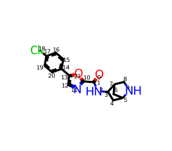 O=C(NC1CC2CC1CN2)c1ncc(-c2ccc(Cl)cc2)o1